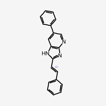 C(=C\c1nc2ncc(-c3ccccc3)cc2[nH]1)/c1ccccc1